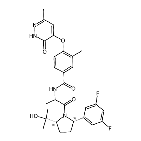 Cc1cc(Oc2ccc(C(=O)NC(C)C(=O)N3[C@H](c4cc(F)cc(F)c4)CC[C@@H]3C(C)(C)O)cc2C)c(=O)[nH]n1